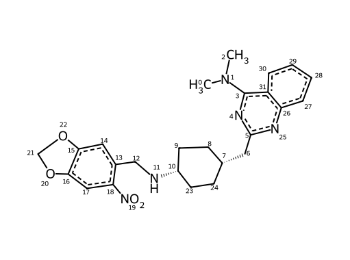 CN(C)c1nc(C[C@H]2CC[C@@H](NCc3cc4c(cc3[N+](=O)[O-])OCO4)CC2)nc2ccccc12